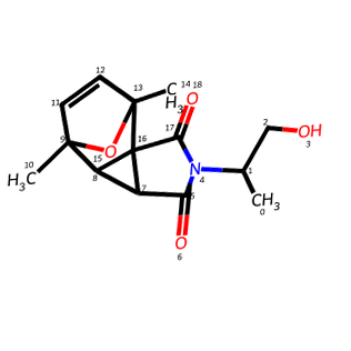 CC(CO)N1C(=O)C2C3C4(C)C=CC(C)(O4)C23C1=O